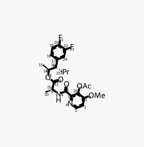 COc1ccnc(C(=O)N[C@@H](C)C(=O)O[C@@H](C)[C@H](c2ccc(F)c(F)c2)C(C)C)c1OC(C)=O